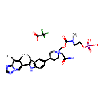 Cc1c(-c2[nH]c3ccc(C4CC[N+](COC(=O)N(C)CCOP(=O)(O)O)(CC(N)=O)CC4)cc3c2C(C)C)cn2ncnc2c1C.O=C([O-])C(F)(F)F